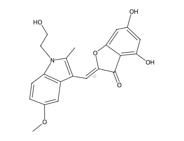 COc1ccc2c(c1)c(/C=C1\Oc3cc(O)cc(O)c3C1=O)c(C)n2CCO